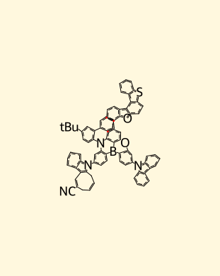 CC(C)(C)c1ccc(N2c3cc(-n4c5c(c6ccccc64)/C=C(/C#N)C/C=C\C5)ccc3B3c4ccc(-n5c6ccccc6c6ccccc65)cc4Oc4cc(-c5cccc6c5oc5ccc7sc8ccccc8c7c56)cc2c43)c(-c2ccccc2)c1